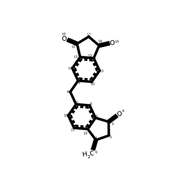 C=C1CC(=O)c2cc(Cc3ccc4c(c3)C(=O)CC4=O)ccc21